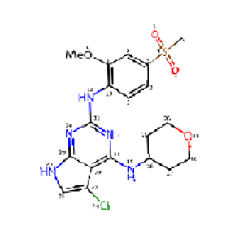 COc1cc(S(C)(=O)=O)ccc1Nc1nc(NC2CCOCC2)c2c(Cl)c[nH]c2n1